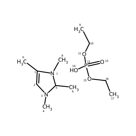 CC1=CN(C)C(C)N1C.CCOP(=O)(O)OCC